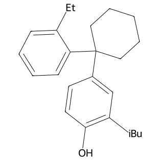 CCc1ccccc1C1(c2ccc(O)c(C(C)CC)c2)CCCCC1